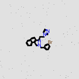 Brc1cccc(CNCc2c(CCCn3ccnc3)ccc3ccccc23)c1